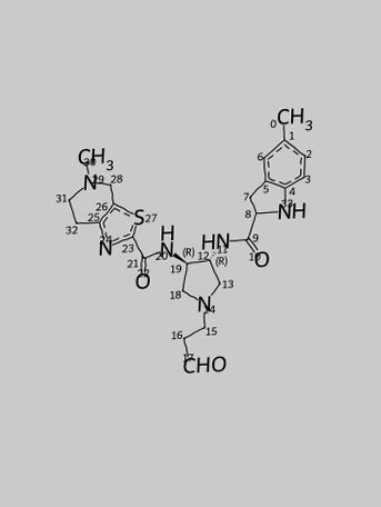 Cc1ccc2c(c1)CC(C(=O)N[C@@H]1CN(CCC=O)C[C@H]1NC(=O)c1nc3c(s1)CN(C)CC3)N2